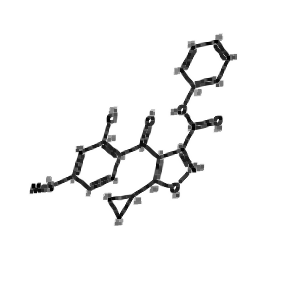 CSc1ccc(C(=O)c2c(C(=O)Oc3ccccc3)noc2C2CC2)c(Cl)c1